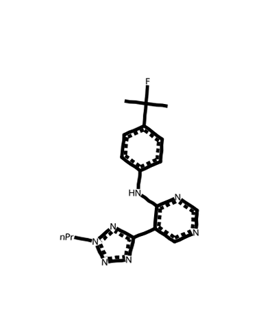 CCCn1nnc(-c2cncnc2Nc2ccc(C(C)(C)F)cc2)n1